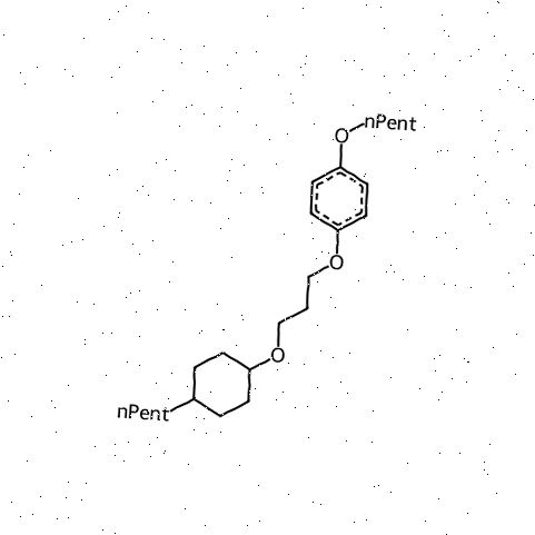 CCCCCOc1ccc(OCCCOC2CCC(CCCCC)CC2)cc1